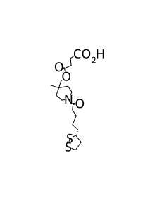 CC1(COC(=O)CCC(=O)O)CCN(C(=O)CCCC[C@@H]2CCSS2)CC1